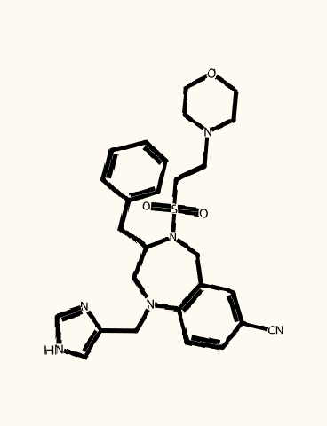 N#Cc1ccc2c(c1)CN(S(=O)(=O)CCN1CCOCC1)C(Cc1ccccc1)CN2Cc1c[nH]cn1